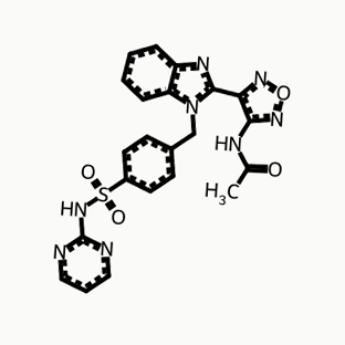 CC(=O)Nc1nonc1-c1nc2ccccc2n1Cc1ccc(S(=O)(=O)Nc2ncccn2)cc1